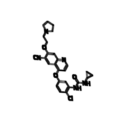 [C-]#[N+]c1cc2c(Oc3ccc(Cl)c(NC(=O)NC4CC4)c3)ccnc2cc1OCCN1CCCC1